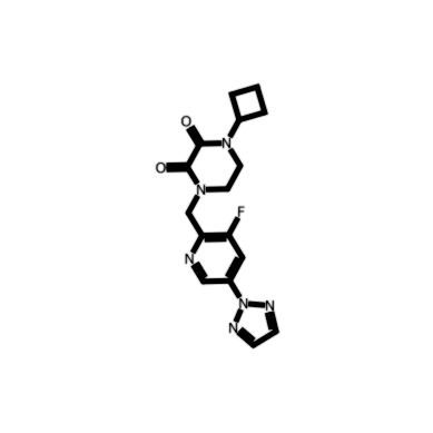 O=C1C(=O)N(C2CCC2)CCN1Cc1ncc(-n2nccn2)cc1F